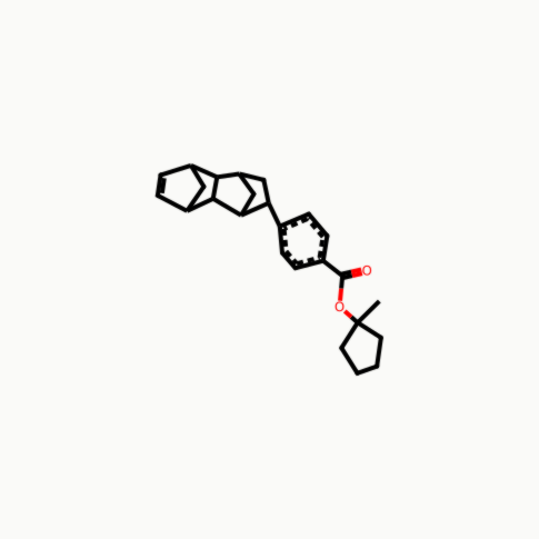 CC1(OC(=O)c2ccc(C3CC4CC3C3C5C=CC(C5)C43)cc2)CCCC1